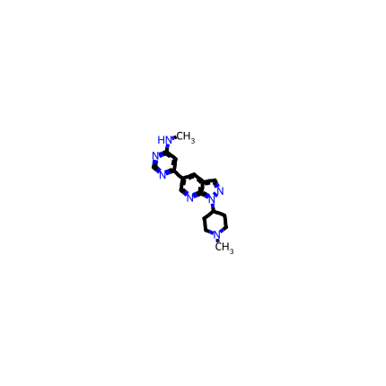 CNc1cc(-c2cnc3c(cnn3C3CCN(C)CC3)c2)ncn1